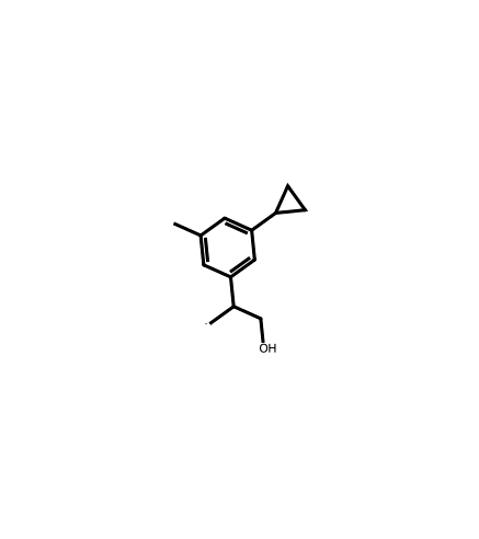 [CH2]C(CO)c1cc(C)cc(C2CC2)c1